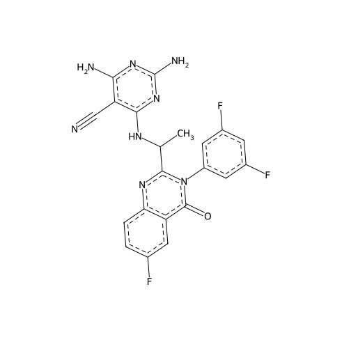 CC(Nc1nc(N)nc(N)c1C#N)c1nc2ccc(F)cc2c(=O)n1-c1cc(F)cc(F)c1